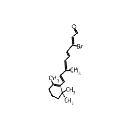 CC1=C(/C=C/C(C)=C/C=C/C(Br)=C/C=O)C(C)(C)CCC1